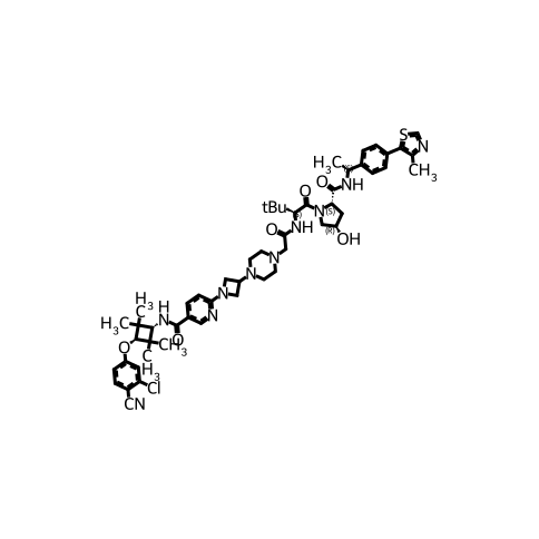 Cc1ncsc1-c1ccc([C@H](C)NC(=O)[C@@H]2C[C@@H](O)CN2C(=O)[C@@H](NC(=O)CN2CCN(C3CN(c4ccc(C(=O)N[C@H]5C(C)(C)[C@H](Oc6ccc(C#N)c(Cl)c6)C5(C)C)cn4)C3)CC2)C(C)(C)C)cc1